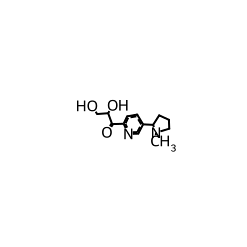 CN1CCCC1c1ccc(C(=O)C(O)CO)nc1